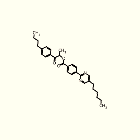 CCCCCCc1cnc(-c2ccc(C(=O)OC(C)C(=O)c3ccc(CCCC)cc3)cc2)nc1